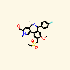 CCS(=O)(=O)Cc1cc2c(cc1OC)C(c1ccc(F)cc1)=N[C@@H](C)C1=CC(C=O)N(C)C=C12